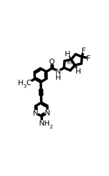 Cc1ccc(C(=O)NC2C[C@@H]3CC(F)(F)C[C@@H]3C2)cc1C#Cc1cnc(N)nc1